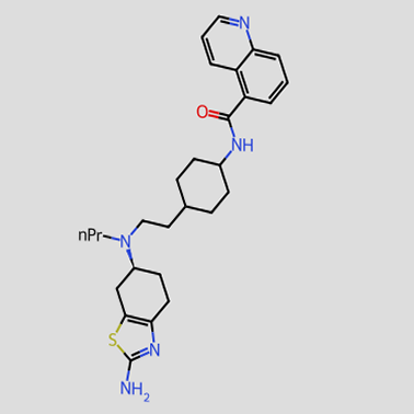 CCCN(CCC1CCC(NC(=O)c2cccc3ncccc23)CC1)[C@H]1CCc2nc(N)sc2C1